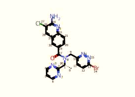 C[C@H](c1ncccn1)N(Cc1ccc(Br)nn1)C(=O)c1ccc2nc(N)c(Cl)cc2c1